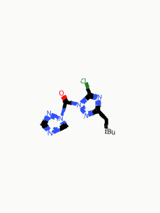 CC(C)(C)Cc1nc(Cl)n(C(=O)n2cncn2)n1